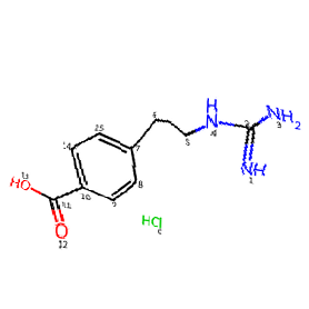 Cl.N=C(N)NCCc1ccc(C(=O)O)cc1